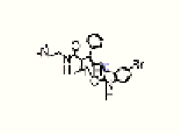 Cc1[nH]c(/C=C2\C(=O)Nc3ccc(Br)cc32)c(-c2ccccc2)c1C(=O)NCCN(C)C